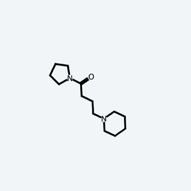 O=C(CCCN1CCCCC1)N1CCCC1